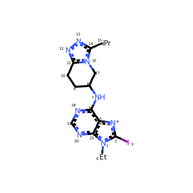 CCn1c(I)nc2c(NC3CCc4nnc(C(C)C)n4C3)ncnc21